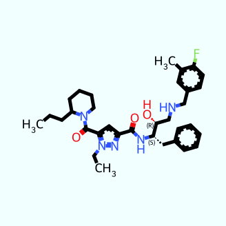 CCCC1CCCCN1C(=O)c1cc(C(=O)N[C@@H](Cc2ccccc2)[C@H](O)CNCc2ccc(F)c(C)c2)nn1CC